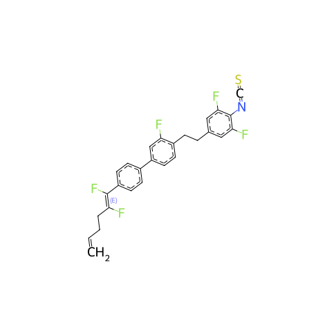 C=CCC/C(F)=C(\F)c1ccc(-c2ccc(CCc3cc(F)c(N=C=S)c(F)c3)c(F)c2)cc1